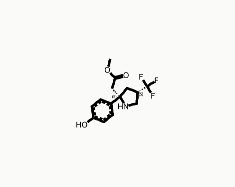 COC(=O)C[C@]1(c2ccc(O)cc2)C[C@H](C(F)(F)F)CN1